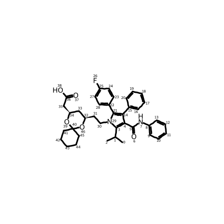 CC(C)c1c(C(=O)Nc2ccccc2)c(-c2ccccc2)c(-c2ccc(F)cc2)n1CC[C@@H]1C[C@H](CC(=O)O)OC2(CCCCC2)O1